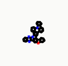 c1ccc(-n2c3ccccc3c3cccc(-c4ccc5c(c4)c4c6c(cc7c8nc9ccccc9nc8n5c74)oc4ccccc46)c32)cc1